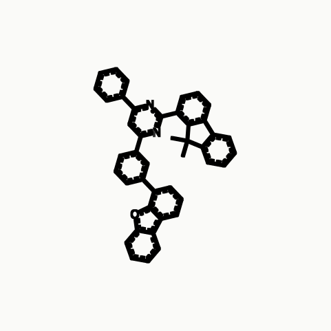 CC1(C)c2ccccc2-c2cccc(-c3nc(-c4ccccc4)cc(-c4cccc(-c5cccc6c5oc5ccccc56)c4)n3)c21